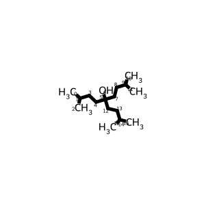 CC(C)CCC(O)(CCC(C)C)CCC(C)C